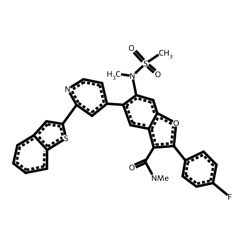 CNC(=O)c1c(-c2ccc(F)cc2)oc2cc(N(C)S(C)(=O)=O)c(-c3ccnc(-c4cc5ccccc5s4)c3)cc12